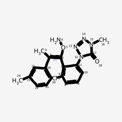 C/C(=C(\ON)c1c(Cl)cccc1-n1nnn(C)c1=O)c1cccc(C)c1